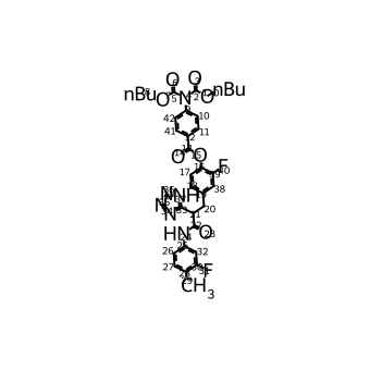 CCCCOC(=O)N(C(=O)OCCCC)c1ccc(C(=O)Oc2ccc(CC(C(=O)Nc3ccc(C)c(F)c3)c3nnn[nH]3)cc2F)cc1